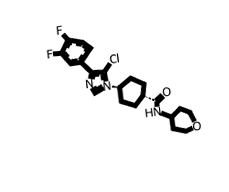 O=C(NC1CCOCC1)[C@H]1CC[C@@H](n2cnc(-c3ccc(F)c(F)c3)c2Cl)CC1